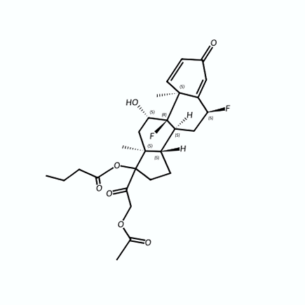 CCCC(=O)OC1(C(=O)COC(C)=O)CC[C@H]2[C@@H]3C[C@H](F)C4=CC(=O)C=C[C@]4(C)[C@@]3(F)[C@@H](O)C[C@@]21C